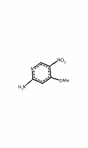 COc1cc(N)ncc1[N+](=O)[O-]